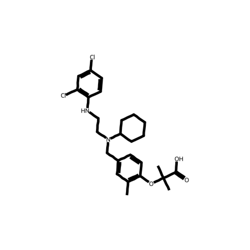 Cc1cc(CN(CCNc2ccc(Cl)cc2Cl)C2CCCCC2)ccc1OC(C)(C)C(=O)O